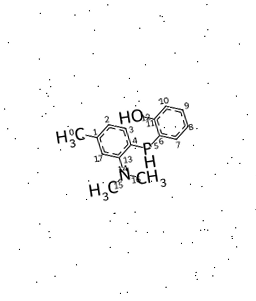 Cc1ccc(Pc2ccccc2O)c(N(C)C)c1